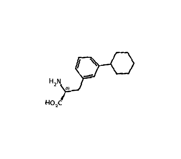 N[C@@H](Cc1cccc(C2CCCCC2)c1)C(=O)O